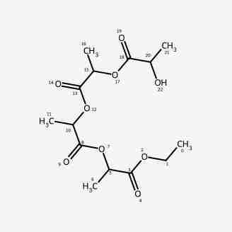 CCOC(=O)C(C)OC(=O)C(C)OC(=O)C(C)OC(=O)C(C)O